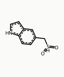 O=[SH](=O)Cc1ccc2[nH]ccc2c1